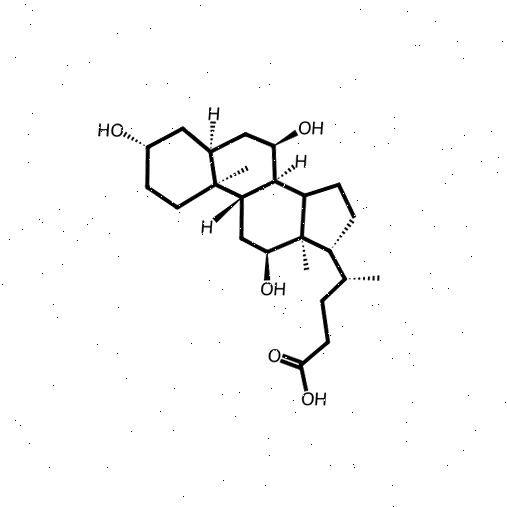 C[C@H](CCC(=O)O)[C@H]1CCC2[C@@H]3[C@H](O)C[C@@H]4C[C@@H](O)CC[C@]4(C)[C@H]3C[C@H](O)[C@@]21C